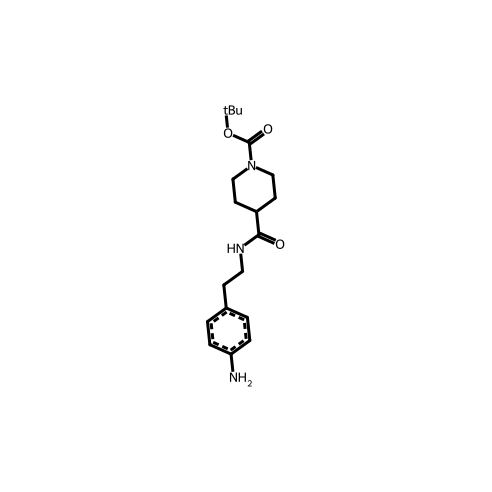 CC(C)(C)OC(=O)N1CCC(C(=O)NCCc2ccc(N)cc2)CC1